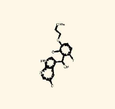 COCCOc1ccc(F)c(C(O)c2c[nH]c3ncc(Cl)cc23)c1Cl